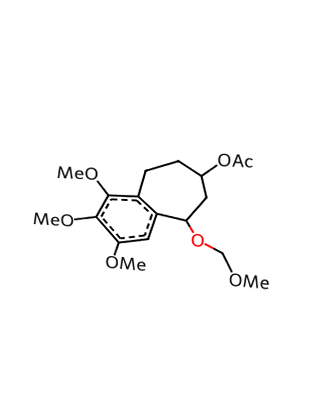 COCOC1CC(OC(C)=O)CCc2c1cc(OC)c(OC)c2OC